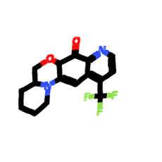 O=C1c2nccc(C(F)(F)F)c2C=C2C1OCC1CCCCN21